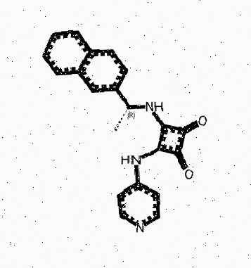 C[C@@H](Nc1c(Nc2ccncc2)c(=O)c1=O)c1ccc2ccccc2c1